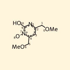 COCc1cc(COC)[n+]([O-])c(O)n1